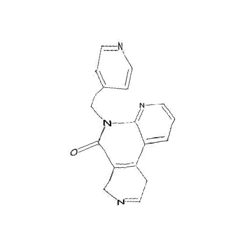 O=c1c2c(c3cccnc3n1Cc1ccncc1)CC=NC2